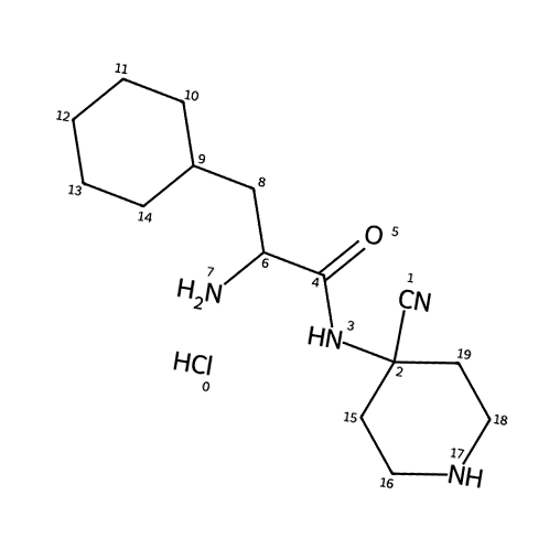 Cl.N#CC1(NC(=O)C(N)CC2CCCCC2)CCNCC1